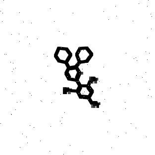 CC(C)c1cc(C(C)C)c(-c2[c]c(C3CCCCC3)c(C3CCCCC3)cc2)c(C(C)C)c1